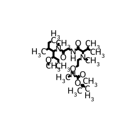 CCC(C)C(C(CC)OC)N(C)C(=O)CNC(=O)C(C(C)C)N(C)CCON(C)C(=O)OC(C)(C)C